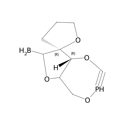 BC1OC2CO[PH]#CO[C@H]2[C@@]12CCCO2